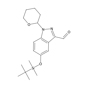 CC(C)(C)[Si](C)(C)Oc1ccc2c(c1)c(C=O)nn2C1CCCCO1